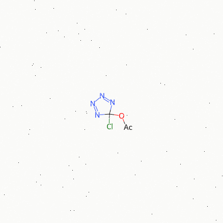 CC(=O)OC1(Cl)N=NN=N1